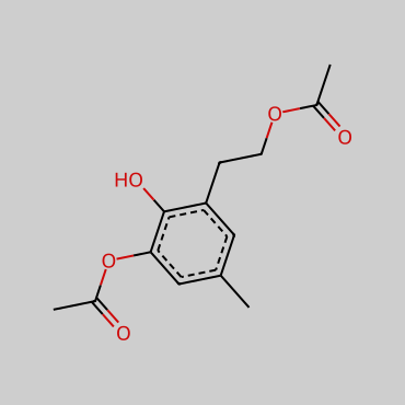 CC(=O)OCCc1cc(C)cc(OC(C)=O)c1O